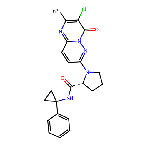 CCCc1nc2ccc(N3CCC[C@@H]3C(=O)NC3(c4ccccc4)CC3)nn2c(=O)c1Cl